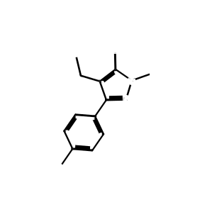 CCc1c(-c2ccc(C)cc2)nn(C)c1O